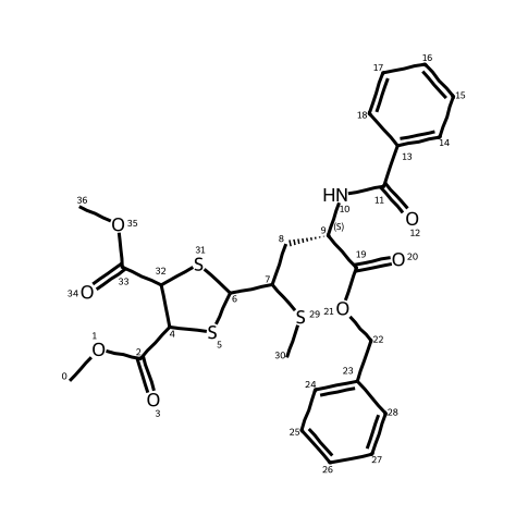 COC(=O)C1SC(C(C[C@H](NC(=O)c2ccccc2)C(=O)OCc2ccccc2)SC)SC1C(=O)OC